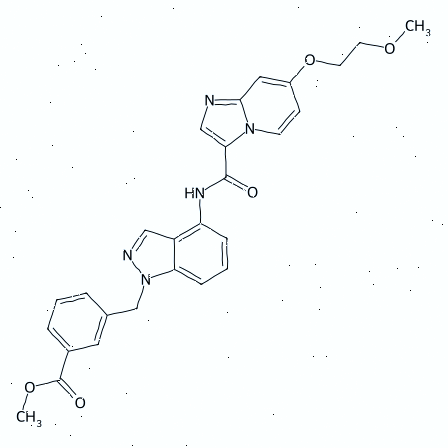 COCCOc1ccn2c(C(=O)Nc3cccc4c3cnn4Cc3cccc(C(=O)OC)c3)cnc2c1